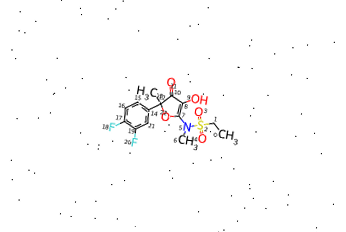 CCS(=O)(=O)N(C)C1=C(O)C(=O)C(C)(c2ccc(F)c(F)c2)O1